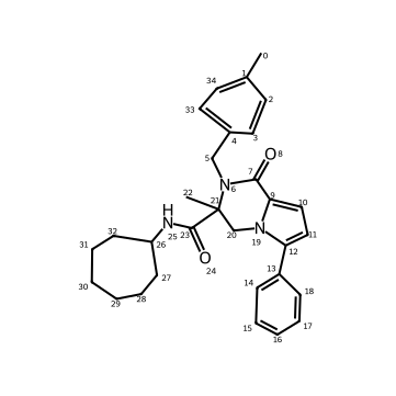 Cc1ccc(CN2C(=O)c3ccc(-c4ccccc4)n3CC2(C)C(=O)NC2CCCCCC2)cc1